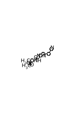 Cc1ccc(NC(=O)Cc2cc3nc(-c4cccc(-c5ccncc5)c4)ccc3cn2)cc1S(C)(=O)=O